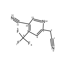 N#CCc1cc(C(F)(F)F)c(C#N)cn1